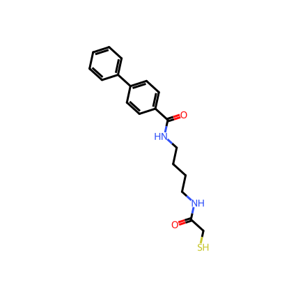 O=C(CS)NCCCCNC(=O)c1ccc(-c2ccccc2)cc1